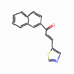 O=C(C=Cc1cncs1)c1ccc2ccccc2c1